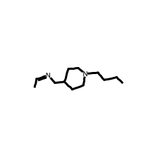 C/C=N\CC1CCN(CCCC)CC1